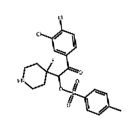 Cc1ccc(S(=O)(=O)OC(C(=O)c2ccc(Cl)c(Cl)c2)C2(F)CCNCC2)cc1